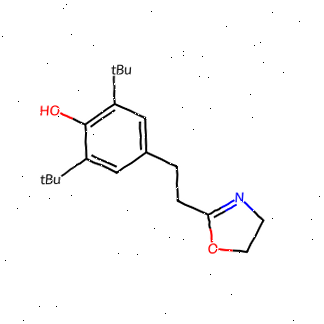 CC(C)(C)c1cc(CCC2=NCCO2)cc(C(C)(C)C)c1O